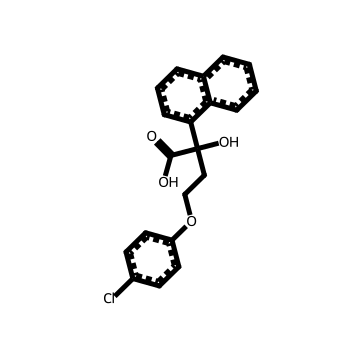 O=C(O)C(O)(CCOc1ccc(Cl)cc1)c1cccc2ccccc12